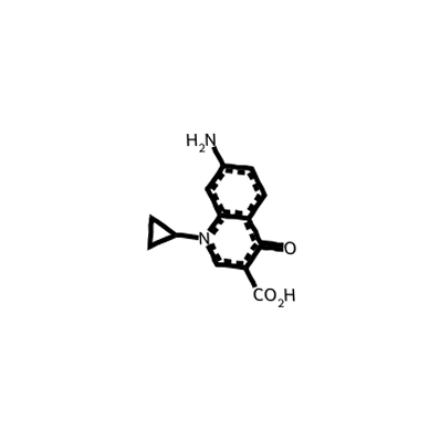 Nc1ccc2c(=O)c(C(=O)O)cn(C3CC3)c2c1